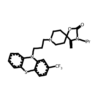 C=C1N(C(C)C)C(=O)OC12CCN(CCCN1c3ccccc3Sc3ccc(C(F)(F)F)cc31)CC2